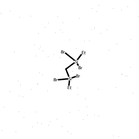 CC[Si](Br)(Br)C[Si](Br)(Br)CC